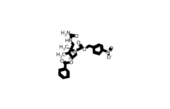 CC1[C@@H](OC(=O)c2ccccc2)CN(C(=O)OCc2ccc([N+](=O)[O-])cc2)[C@]1(C)CNC(N)=O